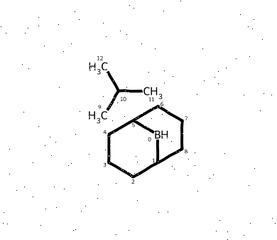 B1C2CCCC1CCC2.CC(C)C